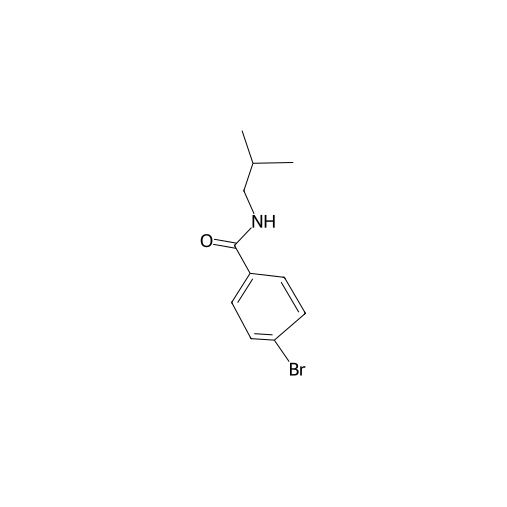 CC(C)CNC(=O)c1ccc(Br)cc1